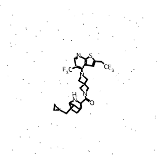 O=C(C1NC2CCC1CC2CC1CC1)N1CC2(C1)CN(c1c(C(F)(F)F)cnc3sc(CC(F)(F)F)cc13)C2